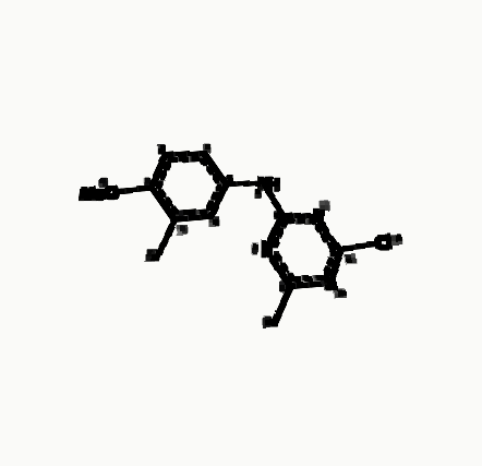 COc1ccc(Nc2nc(C)nc(Cl)n2)cc1C